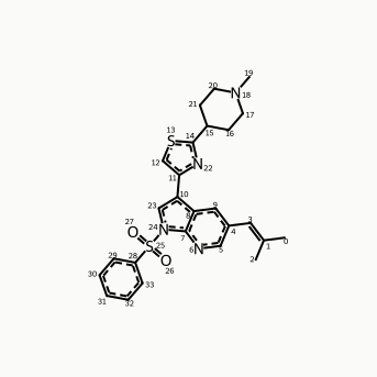 CC(C)=Cc1cnc2c(c1)c(-c1csc(C3CCN(C)CC3)n1)cn2S(=O)(=O)c1ccccc1